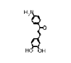 Nc1ccc(C(=O)C=Cc2ccc(O)c(O)c2)cc1